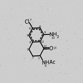 CC(=O)NC1CCc2cc(Cl)cc(N)c2C1=O